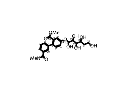 CNC(=O)c1cccc(-c2ccc(OC(O)C(O)C(O)C(O)CCO)cc2C(=O)OC)c1